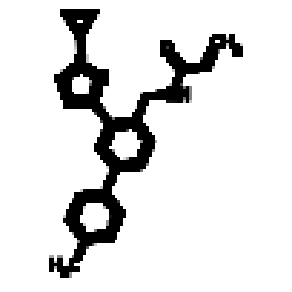 C=CC(=O)NCc1ccc(-c2ccc(C)cc2)cc1-c1ccn(C2CC2)n1